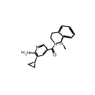 C[C@@H]1c2ccccc2CCN1C(=O)c1cnc(N)c(C2CC2)c1